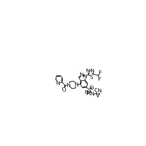 N#CC1(NS(=O)(=O)c2cc(N3CCN(C(=O)c4ccccn4)CC3)c3cnn(-c4nnc(C(F)F)s4)c3c2)CC1